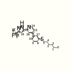 CCCCCCSc1cccc(-c2ccnc(-c3cc(C(F)(F)F)n[nH]3)c2)c1